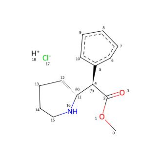 COC(=O)[C@H](c1ccccc1)[C@H]1CCCCN1.[Cl-].[H+]